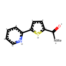 CNC(=O)c1ccc(-c2ccccn2)s1